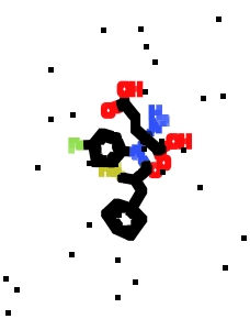 N[C@@](CCC(=O)O)(C(=O)O)N(C(=O)C(CS)Cc1ccccc1)c1ccc(F)cc1